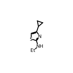 CCNc1nc(C2CC2)cs1